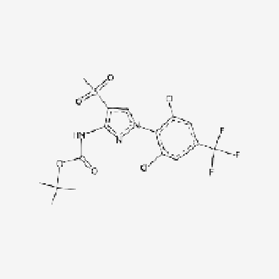 CC(C)(C)OC(=O)Nc1nn(-c2c(Cl)cc(C(F)(F)F)cc2Cl)cc1S(C)(=O)=O